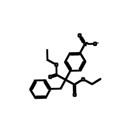 CCOC(=O)C(Cc1ccccc1)(C(=O)OCC)c1ccc([N+](=O)[O-])cc1